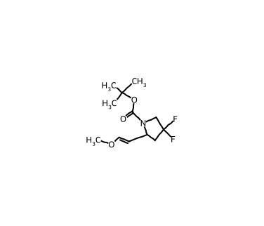 COC=CC1CC(F)(F)CN1C(=O)OC(C)(C)C